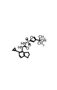 CC(C)(O)c1coc(S(=O)(=O)NC(=O)Nc2c(C3=CC3)ccc3c2CCC3)c1